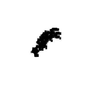 COC[C@@]1(O[Si](C)(C)C(C)(C)C)CC[C@@]2(C)[C@H](CC[C@@H]3[C@@H]2CC[C@]2(C)C([C@](C)(O)Cn4cc(C#N)cn4)CC[C@@H]32)C1